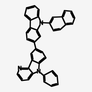 c1ccc(-n2c3ccc(-c4ccc5c6ccccc6n(-c6ccc7ccccc7c6)c5c4)cc3c3ncccc32)cc1